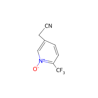 N#CCc1ccc(C(F)(F)F)[n+]([O-])c1